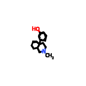 CN1CCC2(c3cccc(O)c3)C=CCCC2C1